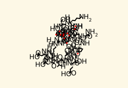 CC(C)[C@H](NC(=O)[C@H](CC(=O)O)NC(=O)[C@H](CCCNC(=N)N)NC(=O)[C@@H](N)CC(=O)O)C(=O)N[C@@H](CC(=O)O)C(=O)N[C@@H](CCC(=O)O)C(=O)N[C@@H](CO)C(=O)N[C@@H](CO)C(=O)N1CCC[C@H]1C(=O)N[C@@H](CCC(N)=O)C(=O)N[C@@H](CC(=O)O)C(=O)N[C@@H](CO)C(=O)N1CCC[C@H]1C(=O)N1CCC[C@H]1C(=O)N[C@@H](CO)C(=O)N[C@@H](CCCCN)C(=O)N[C@@H](C)C(=O)N[C@@H](CO)C(=O)N1CCC[C@H]1C(=O)N[C@@H](C)C(=O)O